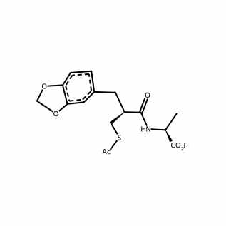 CC(=O)SC[C@@H](Cc1ccc2c(c1)OCO2)C(=O)N[C@@H](C)C(=O)O